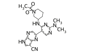 CN(C)c1ncc(-c2cnc3[nH]cc(C#N)c3n2)c(NC2CCCN(S(C)(=O)=O)C2)n1